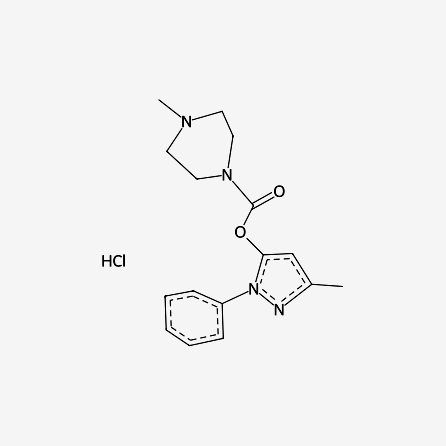 Cc1cc(OC(=O)N2CCN(C)CC2)n(-c2ccccc2)n1.Cl